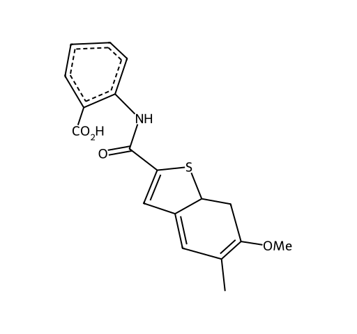 COC1=C(C)C=C2C=C(C(=O)Nc3ccccc3C(=O)O)SC2C1